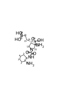 N[C@@H]1CCCC[C@@H]1NS(=O)(=O)N1C[C@H](CCCB(O)O)[C@](N)(C(=O)O)C1